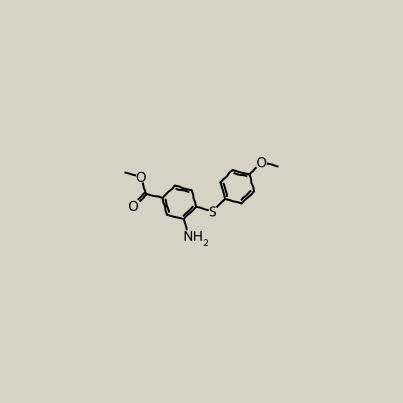 COC(=O)c1ccc(Sc2ccc(OC)cc2)c(N)c1